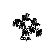 CCOC(=O)CCSP(=O)(OC(C)CSP(=O)(OC(C)CCP(=O)(OC(C)C)OC(C)C)OC(C)CSP(=O)(OC(C)C)OC(C)C)OC(C)CSP(=O)(OC(C)CSP(=O)(OC(C)C)OC(C)C)OC(C)CSP(=O)(OC(C)C)OC(C)C